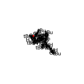 CC(C)C[C@@H](NC(=O)[C@@H](NC(=O)[C@H](CC(=O)OC(C)(C)C)NC(=O)[C@@H](N)COC(C)(C)C)C(C)OC(C)(C)C)C(=O)N1C(C(=O)N[C@@H](Cc2ccc(C(C)(C)C)cc2)C(=O)N[C@@H](CCC(=O)OC(C)(C)C)CC(=O)N[C@H](CCCCNC(=O)OC(C)(C)C)C(N)=O)C(C)(C)SC1(C)C